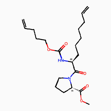 C=CCCCCC[C@H](NC(=O)OCCCC=C)C(=O)N1CCC[C@H]1C(=O)OC